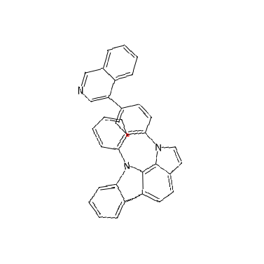 c1ccc(-n2c3ccccc3c3ccc4ccn(-c5ccc(-c6cncc7ccccc67)cc5)c4c32)cc1